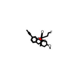 CC#Cc1ccc2c(c1)C1(NC(=O)N(CCF)C1=O)C1(CCC(OC)CC1)C2